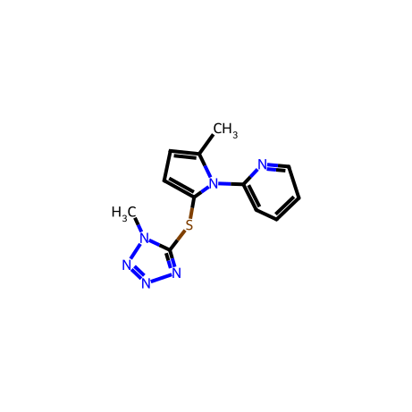 Cc1ccc(Sc2nnnn2C)n1-c1ccccn1